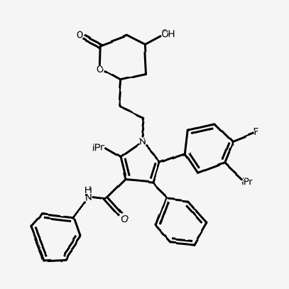 CC(C)c1cc(-c2c(-c3ccccc3)c(C(=O)Nc3ccccc3)c(C(C)C)n2CCC2CC(O)CC(=O)O2)ccc1F